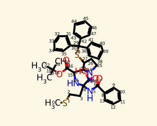 CSCCC(NC(=O)c1ccccc1)(NC(C(=O)OC(C)(C)C)C1NCCC1SC(c1ccccc1)(c1ccccc1)c1ccccc1)C(=O)O